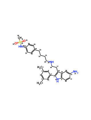 Cc1cc(C)cc(-c2[nH]c3ccc(N)cc3c2CCNCCCCc2ccc(NS(C)(=O)=O)cc2)c1